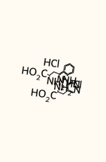 Cl.Cl.NC(Cc1ccnnc1)C(=O)O.NC(Cc1n[nH]c2ccccc12)C(=O)O